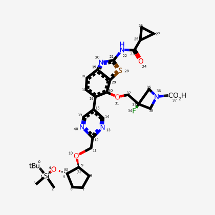 CC(C)(C)[Si](C)(C)O[C@H]1CCC[C@@H]1OCc1ncc(-c2ccc3nc(NC(=O)C4CC4)sc3c2OCC2(F)CN(C(=O)O)C2)cn1